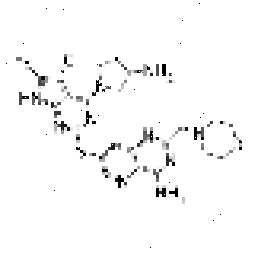 CCc1[nH]c2nc(Sc3cnc4c(N)nc(CN5CCOCC5)nc4c3)nc(N3CCC(N)C3)c2c1Cl